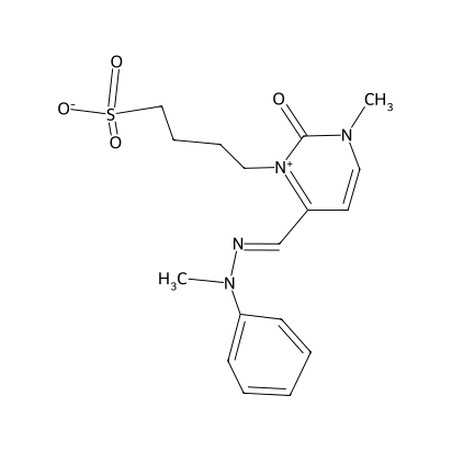 CN(/N=C/c1ccn(C)c(=O)[n+]1CCCCS(=O)(=O)[O-])c1ccccc1